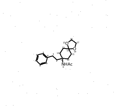 CC(=O)NC1(CCc2ccccc2)CCC2(CC1)OCCO2